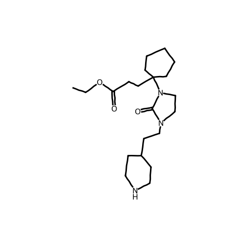 CCOC(=O)CCC1(N2CCN(CCC3CCNCC3)C2=O)CCCCC1